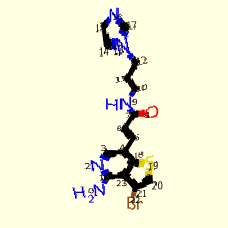 Nc1ncc(C=CC(=O)NCCCn2ccnc2)c2scc(Br)c12